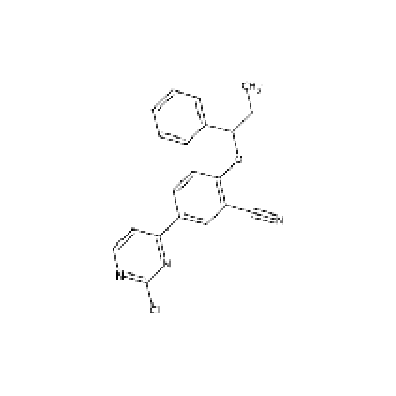 [CH2]CC(Oc1ccc(-c2ccnc(Cl)n2)cc1C#N)c1ccccc1